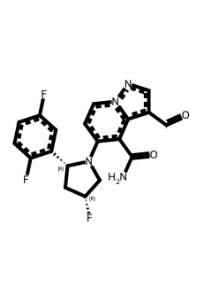 NC(=O)c1c(N2C[C@H](F)C[C@@H]2c2cc(F)ccc2F)ccn2ncc([C]=O)c12